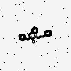 O=C(NCCCc1ccccc1)N(Cc1ccccc1)Cc1ccccc1